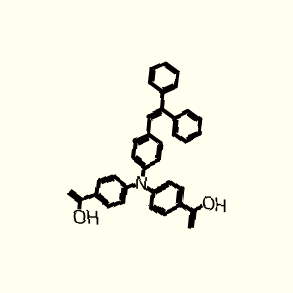 C=C(O)c1ccc(N(c2ccc(C=C(c3ccccc3)c3ccccc3)cc2)c2ccc(C(=C)O)cc2)cc1